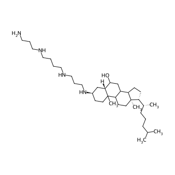 CC(C)CCC[C@@H](C)[C@H]1CCC2C3CC(O)[C@H]4C[C@H](NCCCNCCCCNCCCN)CCC4(C)C3CC[C@@]21C